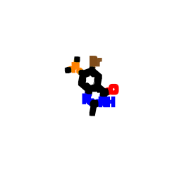 Cc1nc2cc(P(C)C)c(Br)cc2c(=O)[nH]1